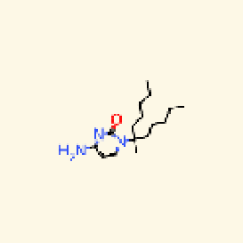 CCCCCC(C)(CCCCC)n1ccc(N)nc1=O